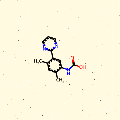 Cc1cc(C)c(-c2ncccn2)cc1NC(=O)O